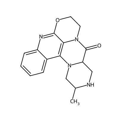 CC1CN2c3c4c(nc5ccccc35)OCCN4C(=O)C2CN1